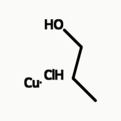 CCCO.Cl.[Cu]